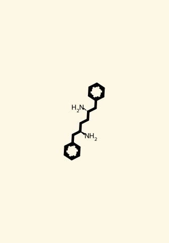 N[C@H](CC[C@H](N)Cc1ccccc1)Cc1ccccc1